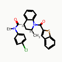 CCN(C(=O)[C@H]1C[C@H](C)N(C(=O)c2cc3ccccc3s2)c2ccccc21)c1ccc(Cl)cc1